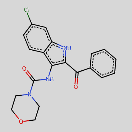 O=C(c1ccccc1)c1[nH]c2cc(Cl)ccc2c1NC(=O)N1CCOCC1